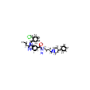 CCCc1nc2ccc(C(=O)NCCCCN3CC=C(c4ccccc4)CC3)cc2n1Cc1ccccc1Cl